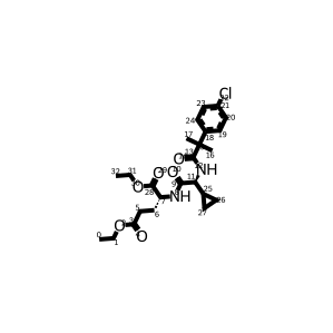 CCOC(=O)CC[C@@H](NC(=O)[C@@H](NC(=O)C(C)(C)c1ccc(Cl)cc1)C1CC1)C(=O)OCC